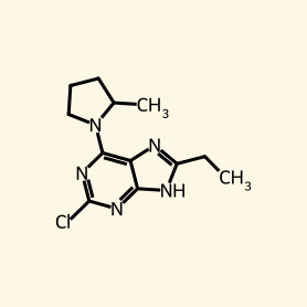 CCc1nc2c(N3CCCC3C)nc(Cl)nc2[nH]1